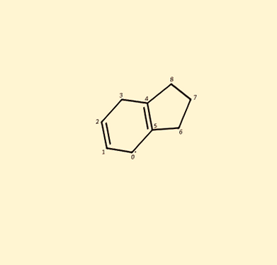 [CH]1C=CCC2=C1CCC2